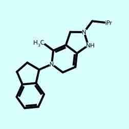 CC1=C2CN(CC(C)C)NC2=CCN1C1CCc2ccccc21